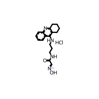 Cl.O=C(/C=N/O)NCCCNc1c2c(nc3ccccc13)CCCC2